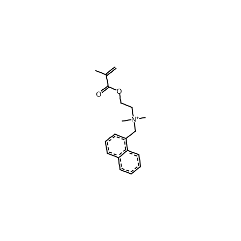 C=C(C)C(=O)OCC[N+](C)(C)Cc1cccc2ccccc12